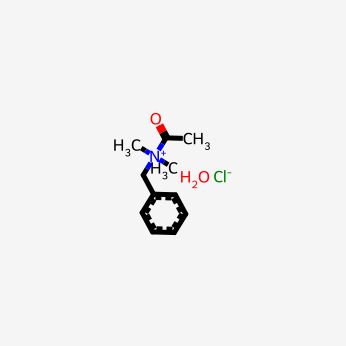 CC(=O)[N+](C)(C)Cc1ccccc1.O.[Cl-]